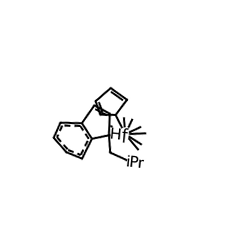 CC(C)C[C]1([Hf]([CH3])([CH3])([CH3])([CH3])([CH3])([CH3])([CH3])[CH]2C=CC=C2)C=Cc2ccccc21